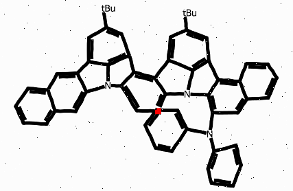 CC(C)(C)c1cc2c3cc4ccccc4cc3n3c4cnc5c(c6cc(C(C)(C)C)cc7c8c9ccccc9cc(N(c9ccccc9)c9ccccc9)c8n5c67)c4c(c1)c23